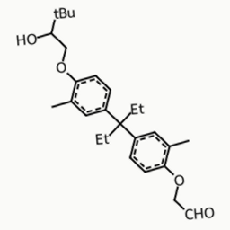 CCC(CC)(c1ccc(OCC=O)c(C)c1)c1ccc(OCC(O)C(C)(C)C)c(C)c1